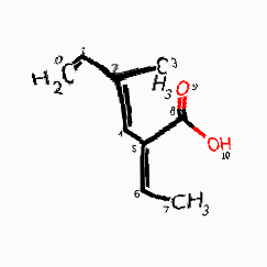 C=CC(C)=CC(=CC)C(=O)O